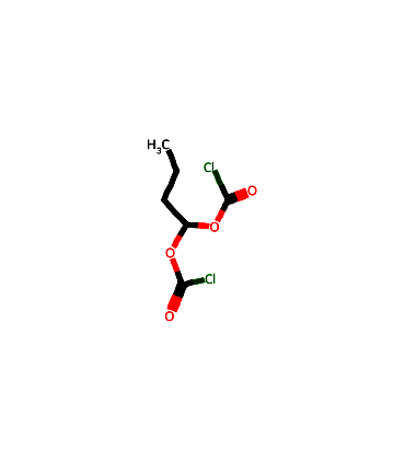 CCCC(OC(=O)Cl)OC(=O)Cl